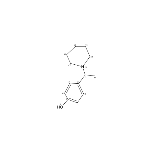 CC(c1ccc(O)cc1)N1CCCCC1